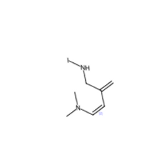 C=C(/C=C\N(C)C)CNI